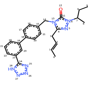 CC=CCc1nn(C(C)CC)c(=O)n1Cc1ccc(-c2cccc(-c3nnn[nH]3)c2)cc1